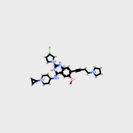 COc1cc2c(NC3CCN(C4CC4)CC3)nc(N3CC[C@@H](F)C3)nc2cc1C#CCCN1CCCC1